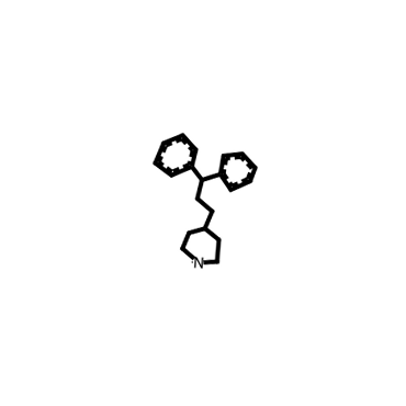 c1ccc(C(CCC2CC[N]CC2)c2ccccc2)cc1